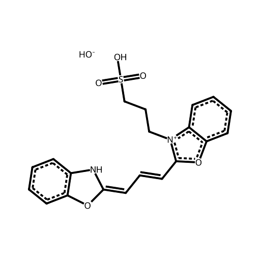 O=S(=O)(O)CCC[n+]1c(C=CC=C2Nc3ccccc3O2)oc2ccccc21.[OH-]